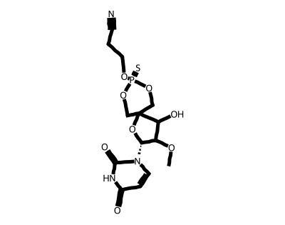 COC1C(O)C2(COP(=S)(OCCC#N)OC2)O[C@H]1n1ccc(=O)[nH]c1=O